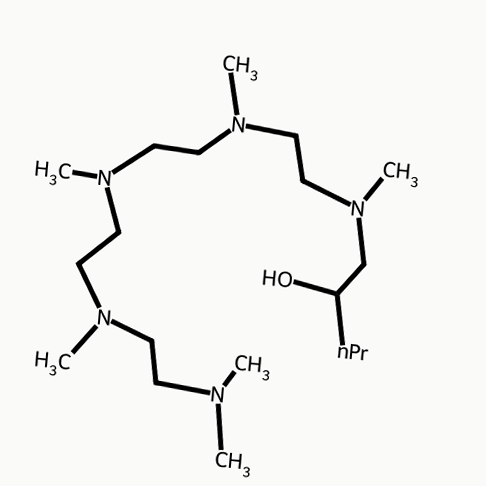 CCCC(O)CN(C)CCN(C)CCN(C)CCN(C)CCN(C)C